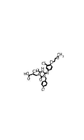 COCCOc1ccc(/N=c2\[nH]c(=O)n(C[C@H](C)C(=O)O)c(=O)n2Cc2ccc(Cl)cc2)cc1Cl